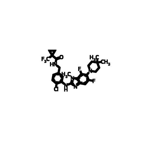 Cn1c(Nc2cc(CNC(=O)C3(C(F)(F)F)CC3)ccc2Cl)nc2cc(F)c(N3CCC(C)(C)CC3)c(F)c21